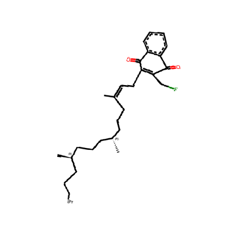 CC(=CCC1=C(CF)C(=O)c2ccccc2C1=O)CCC[C@H](C)CCC[C@H](C)CCCC(C)C